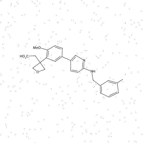 COc1ccc(-c2ccc(NCc3cccc(C)c3)nc2)cc1C1(CC(=O)O)COC1